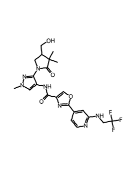 Cn1cc(NC(=O)c2coc(-c3ccnc(NCC(F)(F)F)c3)n2)c(N2CC(CO)C(C)(C)C2=O)n1